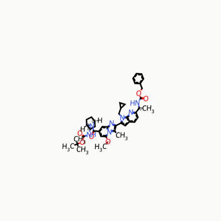 COc1cc(C(=O)N2[C@H]3CC[C@@H]2[C@H](NC(=O)OC(C)(C)C)C3)cc2nc(-c3cc4ccc([C@@H](C)NC(=O)OCc5ccccc5)nc4n3CC3CC3)c(C)n12